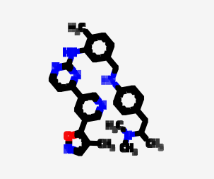 Cc1ccc(CNc2ccc(CC(C)N(C)C)cc2)cc1Nc1nccc(-c2cncc(-c3oncc3C)c2)n1